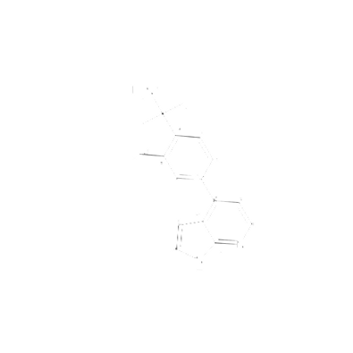 CC(C)(N)c1ccc(-c2ccnc3[nH]ccc23)cc1Cl